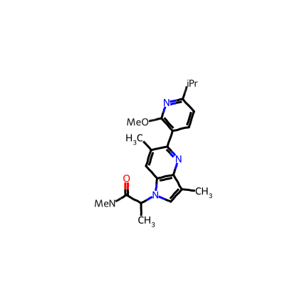 CNC(=O)C(C)n1cc(C)c2nc(-c3ccc(C(C)C)nc3OC)c(C)cc21